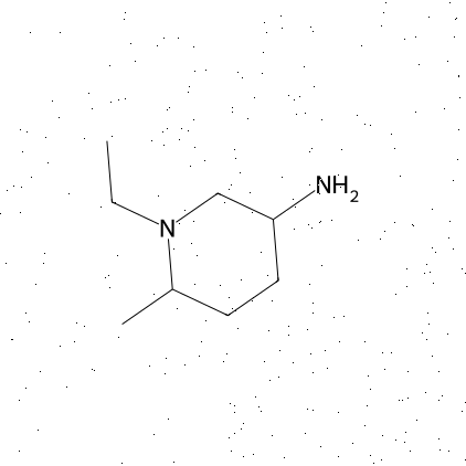 CCN1CC(N)CCC1C